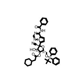 CC(C)(C)[Si](OC[C@H]1O[C@@](C#N)(c2ccc3c(NC(=O)c4ccccc4)ncnn23)[C@H](O)[C@@H]1OC(=O)CC1CCCCC1)(c1ccccc1)c1ccccc1